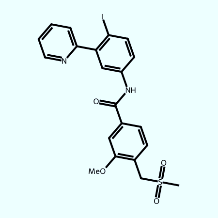 COc1cc(C(=O)Nc2ccc(I)c(-c3ccccn3)c2)ccc1CS(C)(=O)=O